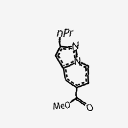 CCCc1cc2cc(C(=O)OC)ccn2n1